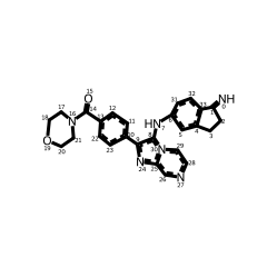 N=C1CCc2cc(Nc3c(-c4ccc(C(=O)N5CCOCC5)cc4)nc4cnccn34)ccc21